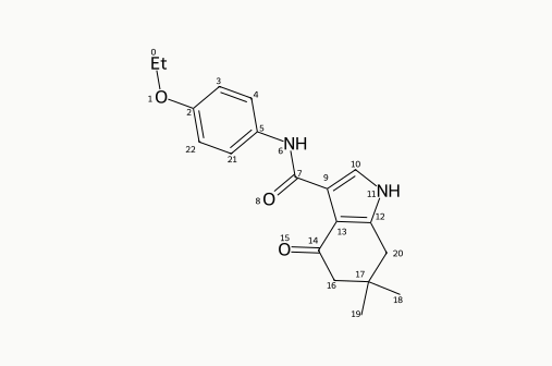 CCOc1ccc(NC(=O)c2c[nH]c3c2C(=O)CC(C)(C)C3)cc1